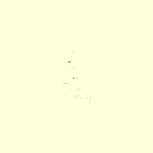 CC(C)(C)OC(=O)NCC(=O)N1CCC[C@H]1C(=O)NC1CC1